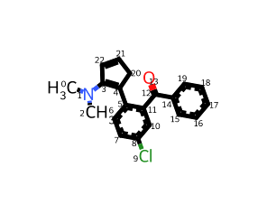 CN(C)C1=C(c2ccc(Cl)cc2C(=O)c2ccccc2)CC=C1